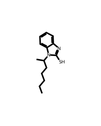 CCCCCC(C)n1c(S)nc2ccccc21